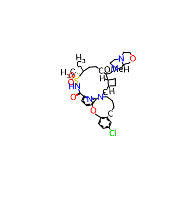 CO[C@@]1(CN2CCN3CCOC[C@@H]3C2)CCC[C@H](C)[C@@H](C)S(=O)(=O)NC(=O)c2ccc3c(n2)N(CCCCc2cc(Cl)ccc2CO3)C[C@@H]2CC[C@H]21